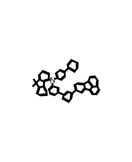 CC1(C)c2ccccc2-c2c(N(c3ccc(-c4ccccc4)cc3)c3cccc(-c4cccc(-c5ccc6c(c5)-c5cccc7cccc-6c57)c4)c3)cccc21